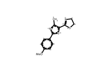 COc1ccc(-c2nc(C)c(C3=NCCS3)s2)cc1